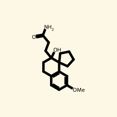 COc1ccc2c(c1)C1(CCCC1)C(O)(CCC(N)=O)CC2